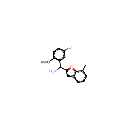 COc1ccc(Cl)cc1C(N)c1cc2cccc(C)c2o1